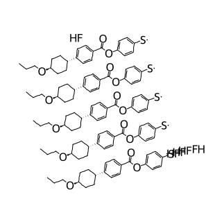 CCCO[C@H]1CC[C@H](c2ccc(C(=O)Oc3ccc([S])cc3)cc2)CC1.CCCO[C@H]1CC[C@H](c2ccc(C(=O)Oc3ccc([S])cc3)cc2)CC1.CCCO[C@H]1CC[C@H](c2ccc(C(=O)Oc3ccc([S])cc3)cc2)CC1.CCCO[C@H]1CC[C@H](c2ccc(C(=O)Oc3ccc([S])cc3)cc2)CC1.CCCO[C@H]1CC[C@H](c2ccc(C(=O)Oc3ccc([S])cc3)cc2)CC1.F.F.F.F.F